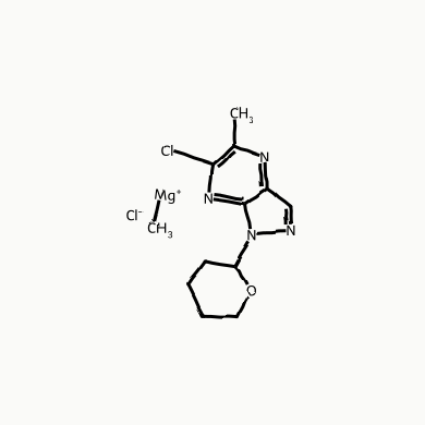 Cc1nc2cnn(C3CCCCO3)c2nc1Cl.[CH3][Mg+].[Cl-]